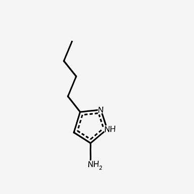 CCCCc1cc(N)[nH]n1